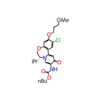 CCCCOC(=O)Nc1cn2c(cc1=O)-c1cc(Cl)c(OCCCOC)cc1OC[C@H]2C(C)C